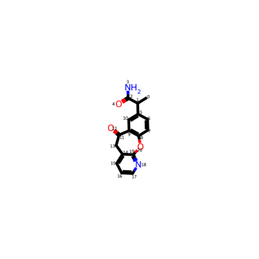 CC(C(N)=O)c1ccc2c(c1)C(=O)Cc1cccnc1O2